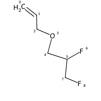 C=CCOCC(F)CF